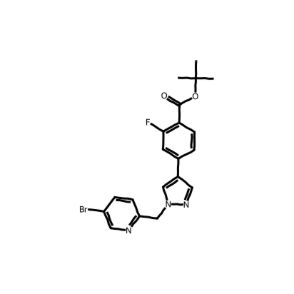 CC(C)(C)OC(=O)c1ccc(-c2cnn(Cc3ccc(Br)cn3)c2)cc1F